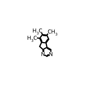 Cc1cc2c(c(C)c1C)Cc1ncncc1-2